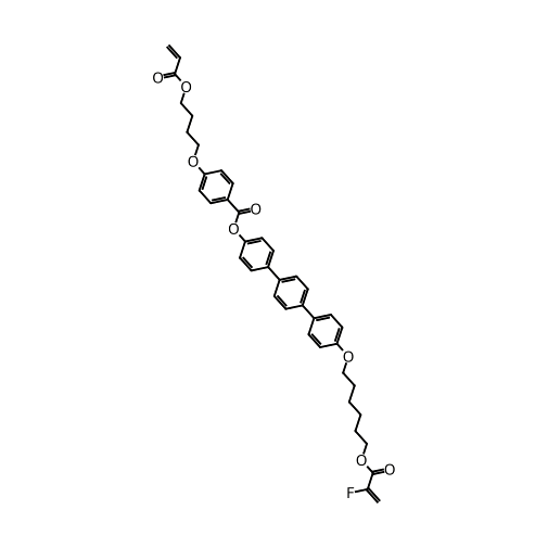 C=CC(=O)OCCCCOc1ccc(C(=O)Oc2ccc(-c3ccc(-c4ccc(OCCCCCCOC(=O)C(=C)F)cc4)cc3)cc2)cc1